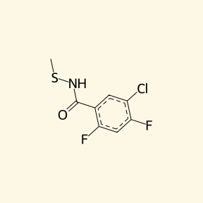 CSNC(=O)c1cc(Cl)c(F)cc1F